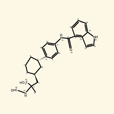 CC(C[C@H]1CCC[C@H](c2ccc(NC(=O)c3cccc4[nH]ccc34)cc2)C1)(NC=O)C(=O)O